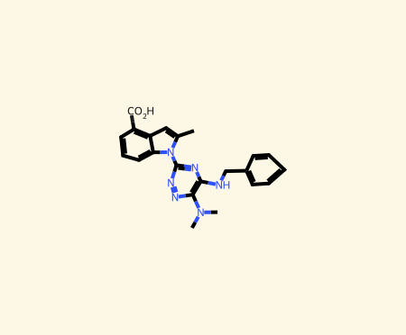 Cc1cc2c(C(=O)O)cccc2n1-c1nnc(N(C)C)c(NCc2ccccc2)n1